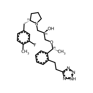 Cc1ccc(C[C@@H]2CCCN2C[C@@H](O)CO[C@H](C)c2ccccc2CCc2nn[nH]n2)cc1F